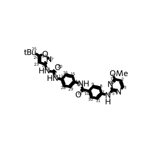 COc1ccnc(Nc2ccc(C(=O)Nc3ccc(NC(=O)Nc4cc(C(C)(C)C)on4)cc3)cc2)n1